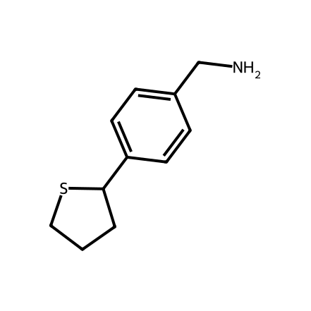 NCc1ccc(C2CCCS2)cc1